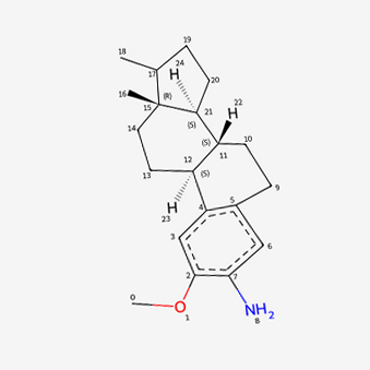 COc1cc2c(cc1N)CC[C@@H]1[C@@H]2CC[C@]2(C)C(C)CC[C@@H]12